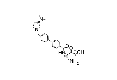 CN(C)[C@@H]1CCN(Cc2ccc(-c3ccc(C(=O)N[C@@H](CN)C(=O)NO)cc3)cc2)C1